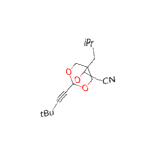 CC(C)CC12COC(C#CC(C)(C)C)(OC1)OC2C#N